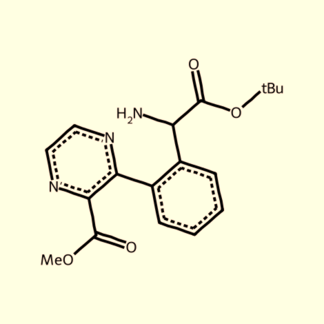 COC(=O)c1nccnc1-c1ccccc1C(N)C(=O)OC(C)(C)C